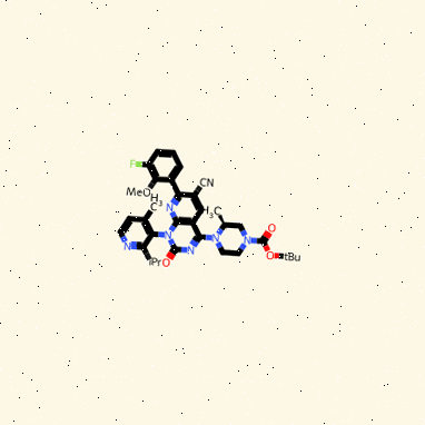 COc1c(F)cccc1-c1nc2c(cc1C#N)c(N1CCN(C(=O)OC(C)(C)C)C[C@@H]1C)nc(=O)n2-c1c(C)ccnc1C(C)C